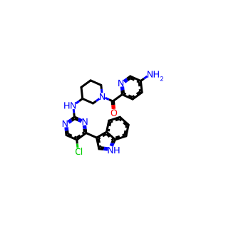 Nc1ccc(C(=O)N2CCCC(Nc3ncc(Cl)c(-c4c[nH]c5ccccc45)n3)C2)nc1